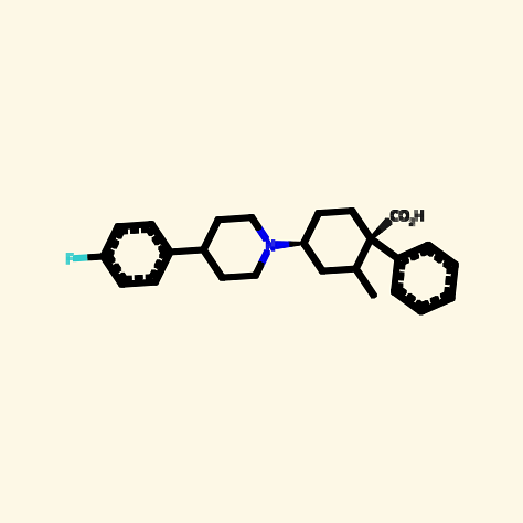 CC1C[C@@H](N2CCC(c3ccc(F)cc3)CC2)CC[C@]1(C(=O)O)c1ccccc1